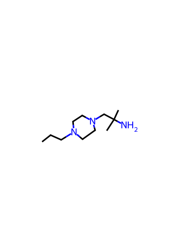 CCCN1CCN(CC(C)(C)N)CC1